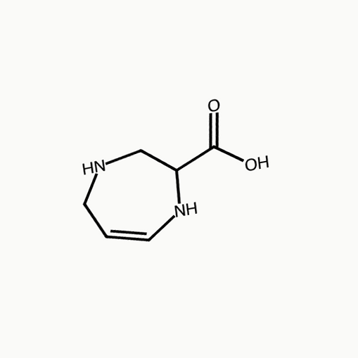 O=C(O)C1CNCC=CN1